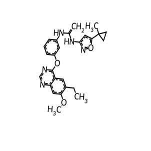 C=C(Nc1cccc(Oc2ncnc3cc(OC)c(CC)cc23)c1)Nc1cc(C2(C)CC2)on1